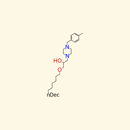 CCCCCCCCCCCCCCCCOCC(O)CN1CCN(Cc2ccc(C)cc2)CC1